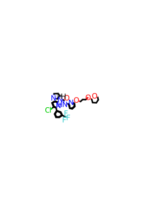 O=C(Nc1cccc(OCCCOC2CCCCO2)n1)N1c2nc(-c3cccc(C(F)(F)F)c3)c(Cl)cc2N2CC[C@H]1C2